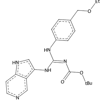 CCOCc1ccc(N/C(=N/C(=O)OC(C)(C)C)Nc2c[nH]c3ccncc23)cc1